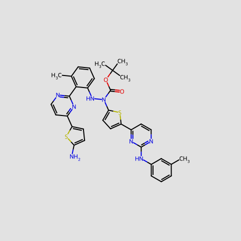 Cc1cccc(Nc2nccc(-c3ccc(N(Nc4cccc(C)c4-c4nccc(-c5ccc(N)s5)n4)C(=O)OC(C)(C)C)s3)n2)c1